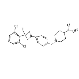 O=C(O)C1CCN(Cc2ccc(N3CC(F)(c4c(Cl)cccc4Cl)C3)cc2)CC1